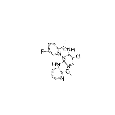 COc1ncccc1Nc1ncc(Cl)c(N[C@@H](C)c2ccc(F)cn2)n1